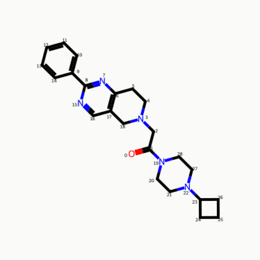 O=C(CN1CCc2nc(-c3ccccc3)ncc2C1)N1CCN(C2CCC2)CC1